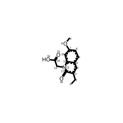 CCc1cc2ccc(OC)cc2n(CC(=O)O)c1=O